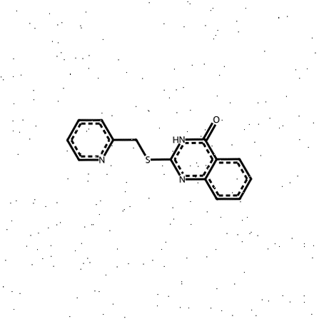 O=c1[nH]c(SCc2ccccn2)nc2ccccc12